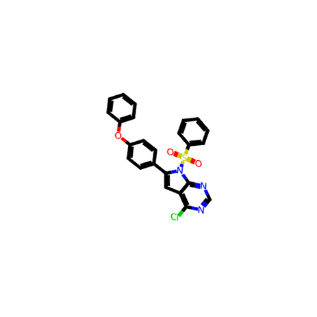 O=S(=O)(c1ccccc1)n1c(-c2ccc(Oc3ccccc3)cc2)cc2c(Cl)ncnc21